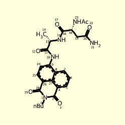 CCCCN1C(=O)c2cccc3c(NC(=O)[C@H](C)NC(=O)[C@@H](CC(N)=O)NC(C)=O)ccc(c23)C1=O